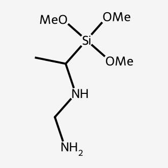 CO[Si](OC)(OC)C(C)NCN